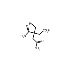 CC(C)CC(CC(N)=O)(CC(=O)O)C(N)=O